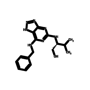 CC(C)[C@H](CO)Nc1nc(NCc2ccccc2)c2[nH]nnc2n1